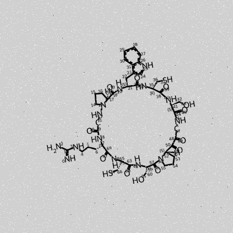 N=C(N)NCCC[C@@H]1NC(=O)CNN2CCC[C@H]2C(=O)N[C@@H](Cc2c[nH]c3ccccc23)C(=O)N[C@@H](CS)C(=O)N[C@@H](CO)C(=O)NCC(=O)C(=O)[C@@H]2CCCN2C(=O)[C@H](CO)NC(=O)[C@H](CS)NC1=O